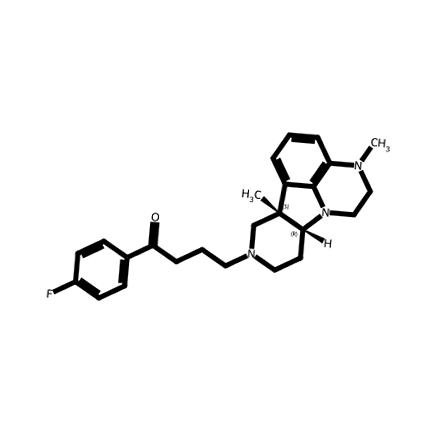 CN1CCN2c3c1cccc3[C@@]1(C)CN(CCCC(=O)c3ccc(F)cc3)CC[C@@H]21